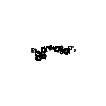 CCN1Cc2ccccc2C(C2CCCC2)(C2CCN(CC3CN(c4ccc(S(=O)(=O)c5ccnc(C(F)(F)F)c5)cc4)C3)CC2)C1